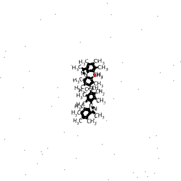 Cc1c(C)c([Si](C)(C)c2c(C)c(C)c(-n3nc(C)c4c(C)c(C)c(C)c(C)c43)c(C)c2C)c(C)c(C)c1-n1nc(C)c2c(C)c(C)c(C)c(C)c21